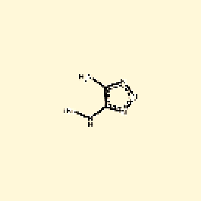 CC(C)(C)Nc1nonc1N